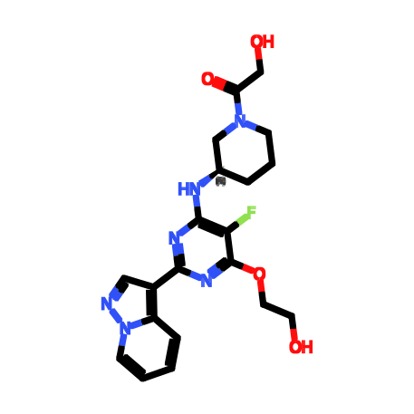 O=C(CO)N1CCC[C@@H](Nc2nc(-c3cnn4ccccc34)nc(OCCO)c2F)C1